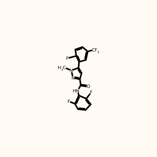 Cn1nc(C(=O)Nc2c(F)cccc2F)cc1-c1cc(C(F)(F)F)ccc1F